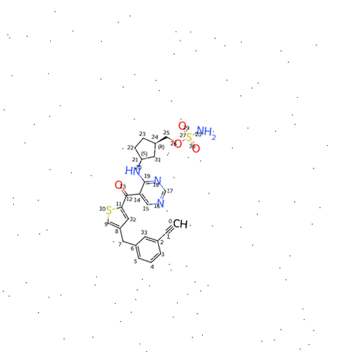 C#Cc1cccc(Cc2csc(C(=O)c3cncnc3N[C@H]3CC[C@@H](COS(N)(=O)=O)C3)c2)c1